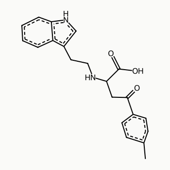 Cc1ccc(C(=O)CC(NCCc2c[nH]c3ccccc23)C(=O)O)cc1